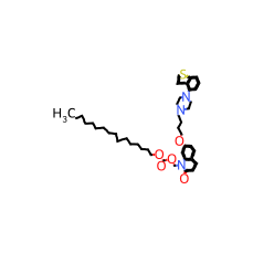 CCCCCCCCCCCCCCCCOC(=O)OCn1c(=O)ccc2ccc(OCCCCN3CCN(c4cccc5sccc45)CC3)cc21